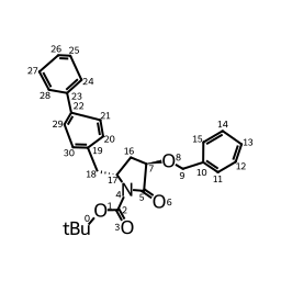 CC(C)(C)OC(=O)N1C(=O)[C@H](OCc2ccccc2)C[C@H]1Cc1ccc(-c2ccccc2)cc1